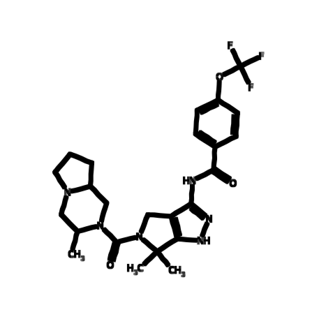 CC1CN2CCCC2CN1C(=O)N1Cc2c(NC(=O)c3ccc(OC(F)(F)F)cc3)n[nH]c2C1(C)C